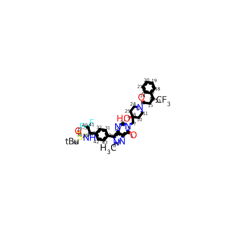 Cn1nc2c(=O)n(CC3(O)CCN(C(=O)C[C@H](c4ccccc4)C(F)(F)F)CC3)cnc2c1-c1ccc([C@H](N[S+]([O-])C(C)(C)C)C(F)F)cc1